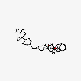 CCC(=O)[C@H]1CC[C@@H](CN2CCC(c3cnc(N4C5CCC4CN(CC)C5)nc3)CC2)CC1